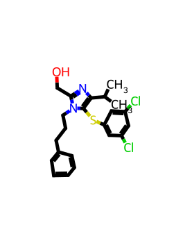 CC(C)c1nc(CO)n(CCCc2ccccc2)c1Sc1cc(Cl)cc(Cl)c1